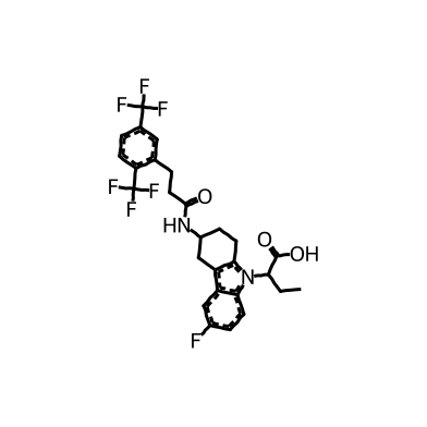 CCC(C(=O)O)n1c2c(c3cc(F)ccc31)CC(NC(=O)CCc1cc(C(F)(F)F)ccc1C(F)(F)F)CC2